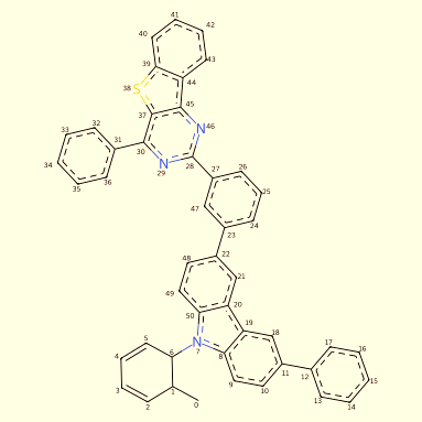 CC1C=CC=CC1n1c2ccc(-c3ccccc3)cc2c2cc(-c3cccc(-c4nc(-c5ccccc5)c5sc6ccccc6c5n4)c3)ccc21